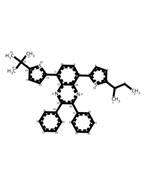 CCC(C)c1ccc(-c2ccc(-c3ccc(C(C)(C)C)s3)c3nc(-c4ccccc4)c(-c4ccccc4)nc23)s1